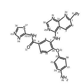 CC(C)c1ccc2c(Nc3cc(C(=O)Nc4nncs4)ccc3Oc3ccc(N)cc3)ncnc2n1